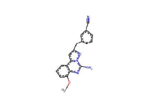 COc1cccc2c1nc(N)n1nc(Cc3cccc(C#N)c3)cc21